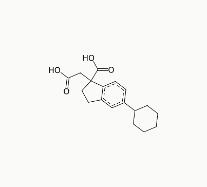 O=C(O)CC1(C(=O)O)CCc2cc(C3CCCCC3)ccc21